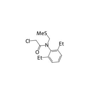 CCc1cccc(CC)c1N(CSC)C(=O)CCl